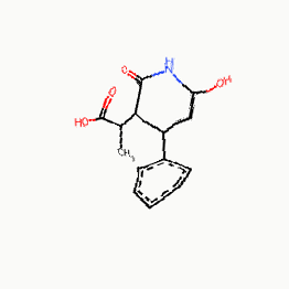 CC(C(=O)O)C1C(=O)NC(O)CC1c1ccccc1